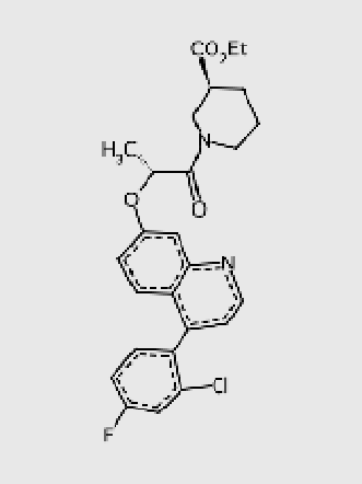 CCOC(=O)[C@H]1CCCN(C(=O)[C@@H](C)Oc2ccc3c(-c4ccc(F)cc4Cl)ccnc3c2)C1